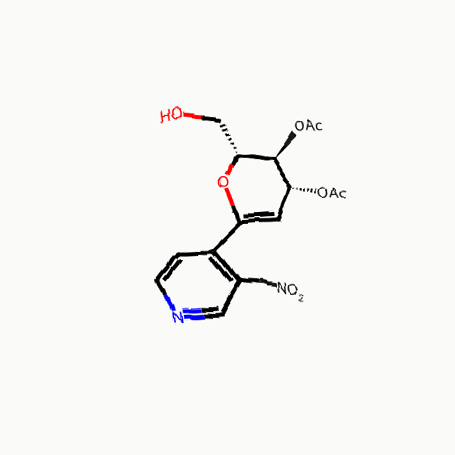 CC(=O)O[C@H]1[C@H](OC(C)=O)C=C(c2ccncc2[N+](=O)[O-])O[C@@H]1CO